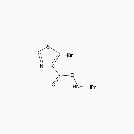 Br.CC(C)NOC(=O)c1cscn1